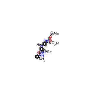 COCCOCC(=O)N[C@H](CC(=O)O)c1ccc(N(C(C)=O)c2ccc(NC(=O)Nc3ccccc3C)c(OC)c2)cc1